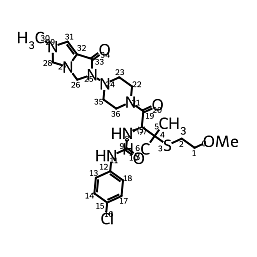 COCCSC(C)(C)[C@@H](NC(=O)Nc1ccc(Cl)cc1)C(=O)N1CCN(N2CN3CN(C)C=C3C2=O)CC1